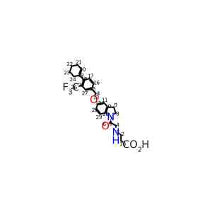 O=C(O)CCNCC(=O)N1CCc2cc(OCc3ccc(C4=CCCCC4)c(C(F)(F)F)c3)ccc21